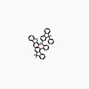 CC1(C)c2ccccc2-c2c(-c3ccccc3N(c3ccc4c(c3)C(C)(c3ccccc3)c3ccccc3-4)c3cccc4c3sc3ccccc34)cccc21